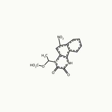 CC(OC(=O)O)n1c(=O)c(=O)[nH]c2c3ccccc3c([N+](=O)[O-])cc21